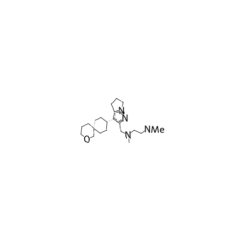 CNCCN(C)Cc1nn2c(c1[C@H]1CC[C@]3(CCCOC3)CC1)CCC2